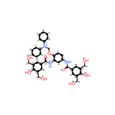 O=C(Nc1ccc(OCN(c2ccccc2)c2ccccc2)c(NC(=O)c2cc(CO)c(O)c(CO)c2)c1)c1cc(CO)c(O)c(CO)c1